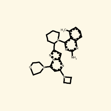 Cc1cccc2nc(N)nc(N3CCCCC3c3cc4nc(N5CCC5)cc(N5CCOCC5)n4n3)c12